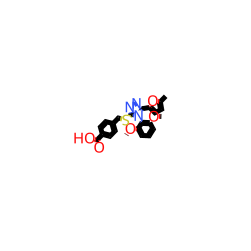 COc1cccc(OC)c1-n1c(SCc2ccc(C(=O)O)cc2)nnc1-c1ccc(C)o1